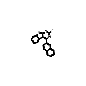 Clc1nc(-c2ccc3ccccc3c2)c2c(n1)sc1ccccc12